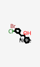 CNC[C@H](c1ccc(Br)c(Cl)c1)[C@@H](O)c1ccccc1